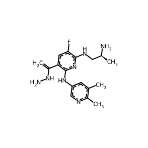 C=C(NN)c1cc(F)c(NC[C@H](C)N)nc1Nc1cnc(C)c(C)c1